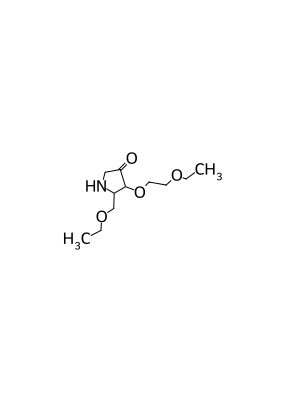 CCOCCOC1C(=O)CNC1COCC